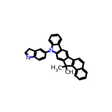 CC1(C)c2cc3c(cc2-c2ccc4ccccc4c21)c1ccccc1n3-c1ccc2c(c1)CC=N2